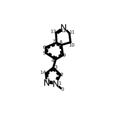 Cn1cc(-c2ccc3c(c2)CCN=C3)cn1